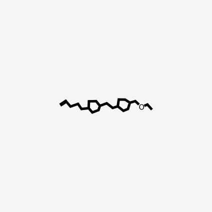 C=CCCCC1CCC(CCC2CCC(COCC)CC2)CC1